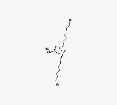 CC(C)CCCCCCCOP(=O)(CC(=O)NO)OCCCCCCCC(C)C